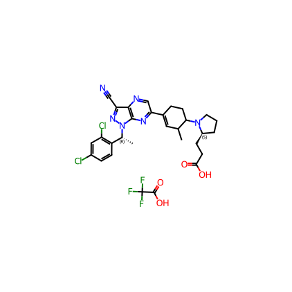 CC1C=C(c2cnc3c(C#N)nn([C@H](C)c4ccc(Cl)cc4Cl)c3n2)CCC1N1CCC[C@H]1CCC(=O)O.O=C(O)C(F)(F)F